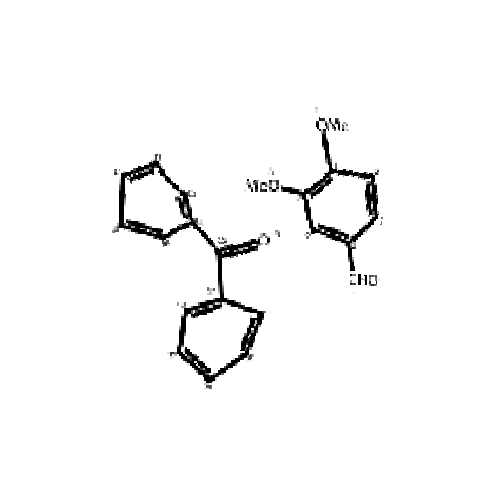 COc1ccc(C=O)cc1OC.O=C(c1ccccc1)c1ccccc1